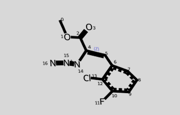 COC(=O)/C(=C/c1cccc(F)c1Cl)N=[N+]=[N-]